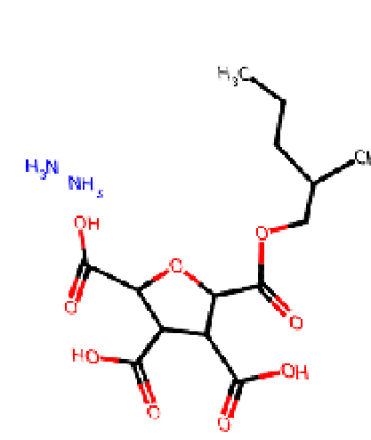 CCCC(C)COC(=O)C1OC(C(=O)O)C(C(=O)O)C1C(=O)O.N.N